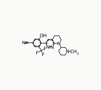 CN1CCCC(N2CCCc3cc(-c4c(O)cc(C#N)cc4C(F)(F)F)nnc32)C1